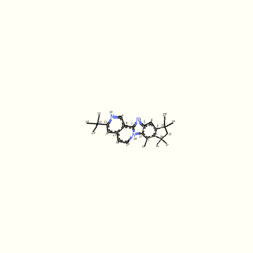 Cc1c2c(cc3nc4c5cnc(C(C)(C)C)cc5ccn4c13)C(C)(C)CC2(C)C